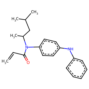 C=CC(=O)N(c1ccc(Nc2ccccc2)cc1)C(C)CC(C)C